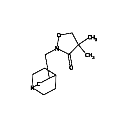 CC1(C)CON(CC2CN3CCC2CC3)C1=O